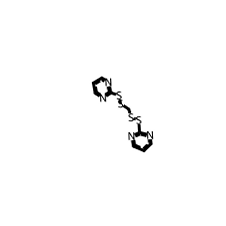 c1cnc(SSCSSc2ncccn2)nc1